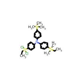 CCS(C)(C)c1ccc(N(c2ccc(S(C)(C)C)cc2)c2ccc(S(Cl)(Cl)CC)cc2)cc1